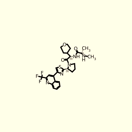 CN[C@@H](C)C(=O)N[C@H](C(=O)N1CCC[C@H]1c1nc(-c2cc(C(F)(F)F)nc3ccccc23)cs1)C1CCOCC1